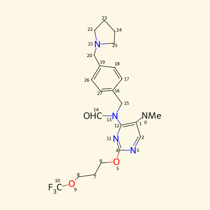 CNc1cnc(OCCCOC(F)(F)F)nc1N(C=O)Cc1ccc(CN2CCCC2)cc1